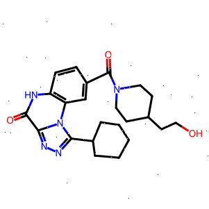 O=C(c1ccc2[nH]c(=O)c3nnc(C4CCCCC4)n3c2c1)N1CCC(CCO)CC1